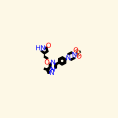 Cc1cnn2cc(-c3ccc(N4CCN(S(C)(=O)=O)CC4)cc3)nc(OCC[C@H]3CNC(=O)C3)c12